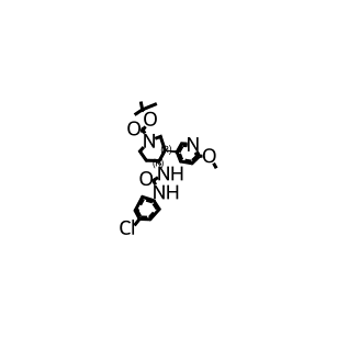 COc1ccc([C@@H]2CN(C(=O)OC(C)(C)C)CC[C@H]2NC(=O)Nc2ccc(Cl)cc2)cn1